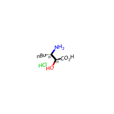 CCCC[C@H](N)[C@H](O)C(=O)O.Cl